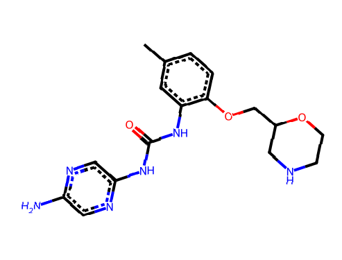 Cc1ccc(OCC2CNCCO2)c(NC(=O)Nc2cnc(N)cn2)c1